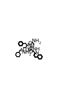 NC(=O)C[C@H](NC(=O)c1ccc2ccccc2n1)C(=O)NC(Cc1ccccc1)C(O)CN(N)CC1CCCCC1